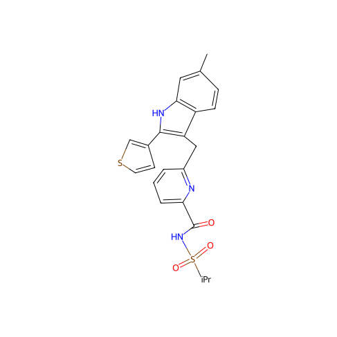 Cc1ccc2c(Cc3cccc(C(=O)NS(=O)(=O)C(C)C)n3)c(-c3ccsc3)[nH]c2c1